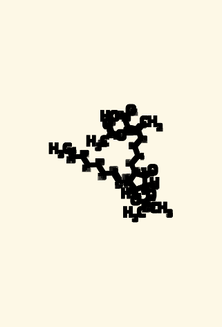 C=C(CCCC[C@H]1C(=O)[C@H]2OC(C)(C)O[C@H]2[C@@H]1C=CCCCCCC)C(OC(C)=O)C(=O)O